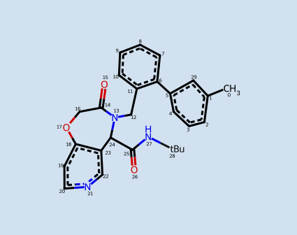 Cc1cccc(-c2ccccc2CN2C(=O)COc3ccncc3C2C(=O)NC(C)(C)C)c1